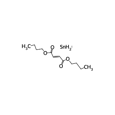 CCCCOC(=O)C=CC(=O)OCCCC.[SnH2]